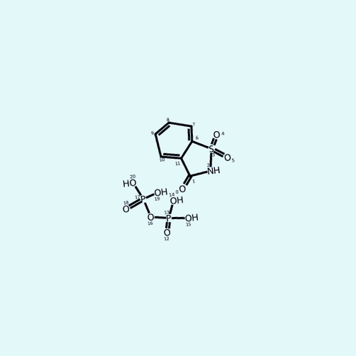 O=C1NS(=O)(=O)c2ccccc21.O=P(O)(O)OP(=O)(O)O